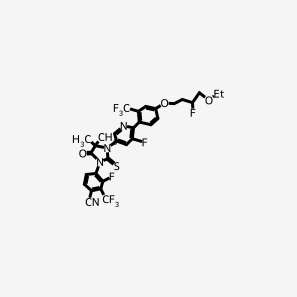 CCOCC(F)CCOc1ccc(-c2ncc(N3C(=S)N(c4ccc(C#N)c(C(F)(F)F)c4F)C(=O)C3(C)C)cc2F)c(C(F)(F)F)c1